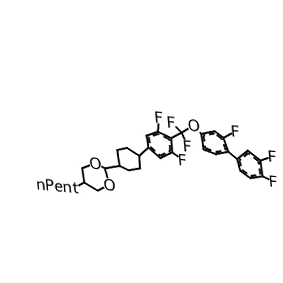 CCCCCC1COC(C2CCC(c3cc(F)c(C(F)(F)Oc4ccc(-c5ccc(F)c(F)c5)c(F)c4)c(F)c3)CC2)OC1